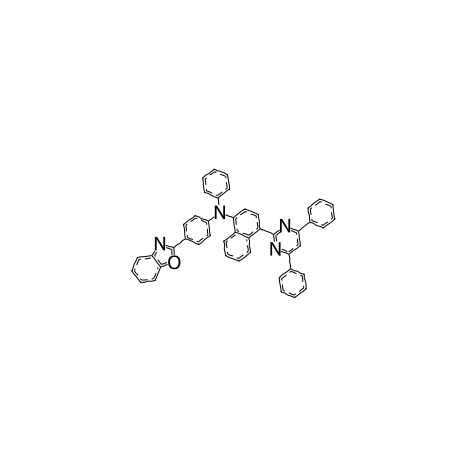 c1ccc(-c2cc(-c3ccccc3)nc(-c3ccc(N(c4ccccc4)c4ccc(-c5nc6ccccc6o5)cc4)c4ccccc34)n2)cc1